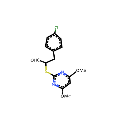 COc1cc(OC)nc(SC(C=O)Cc2ccc(Cl)cc2)n1